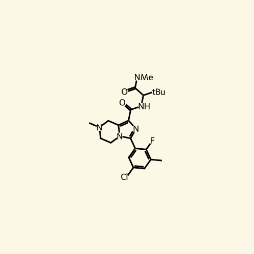 CNC(=O)C(NC(=O)c1nc(-c2cc(Cl)cc(C)c2F)n2c1CN(C)CC2)C(C)(C)C